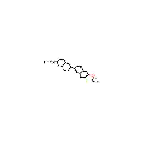 CCCCCCC1CCC2CC(c3ccc4cc(OC(F)(F)F)c(F)cc4c3)CCC2C1